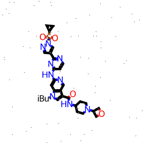 CCC(C)n1cc(C(=O)NC2CCN(C3COC3)CC2)c2cnc(Nc3ccnc(-c4cnn(S(=O)(=O)C5CC5)c4)n3)cc21